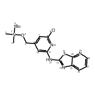 CC(C)(C)[Si](C)(C)OCc1cc(Cl)nc(Nc2nc3cccnc3s2)c1